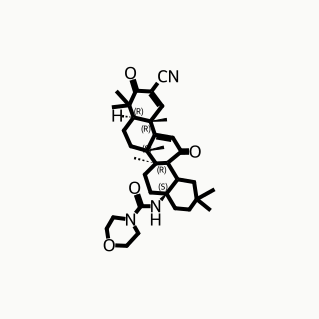 CC1(C)CC[C@]2(NC(=O)N3CCOCC3)CC[C@]3(C)C(C(=O)C=C4[C@@]5(C)C=C(C#N)C(=O)C(C)(C)[C@@H]5CC[C@]43C)C2C1